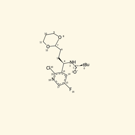 CC(C)(C)[S@@+]([O-])N[C@H](CCC1OCCCO1)c1cc(F)cnc1Cl